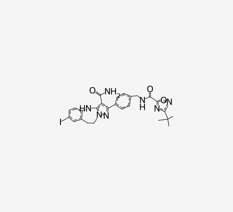 CC(C)(C)c1noc(C(=O)NCc2ccc(-c3nn4c(c3C(N)=O)Nc3ccc(I)cc3CC4)cc2)n1